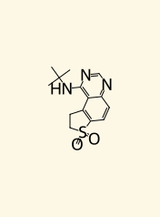 CC(C)(C)Nc1ncnc2ccc3c(c12)CCS3(=O)=O